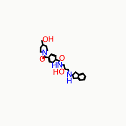 O=C(NCC(O)CNC1Cc2ccccc2C1)C1C=CC(C(=O)N2CCC(CO)CC2)=CC1